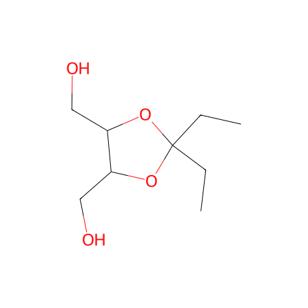 CCC1(CC)OC(CO)C(CO)O1